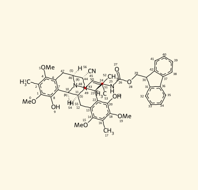 COc1c(C)c(OC)c2c(c1O)[C@@H]1[C@@H]3Cc4c(OC)c(C)c(OC)c(O)c4[C@H](CNC(=O)OCC4c5ccccc5-c5ccccc54)N3[C@@H](C#N)[C@H](C2)N1CC=C(C)C